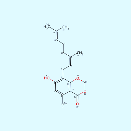 CCCc1cc(O)c(CC=C(C)CCC=C(C)C)c2c1C(=O)OCO2